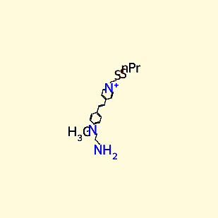 CCCSSCC[n+]1ccc(/C=C/c2ccc(N(C)CCCN)cc2)cc1